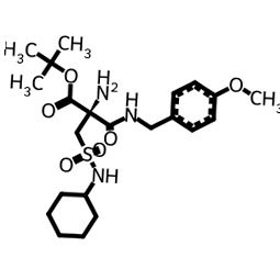 COc1ccc(CNC(=O)[C@](N)(CS(=O)(=O)NC2CCCCC2)C(=O)OC(C)(C)C)cc1